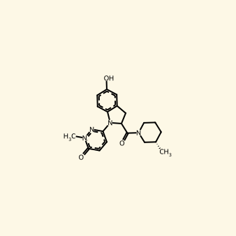 C[C@H]1CCCN(C(=O)C2Cc3cc(O)ccc3N2c2ccc(=O)n(C)n2)C1